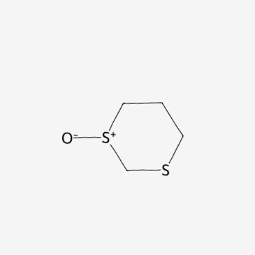 [O-][S+]1CCCSC1